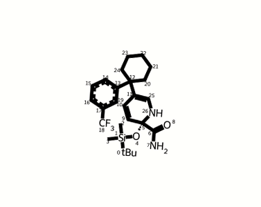 CC(C)(C)[Si](C)(C)O[C@]1(C(N)=O)C=CC(C2(c3cccc(C(F)(F)F)c3)CCCCC2)=CN1